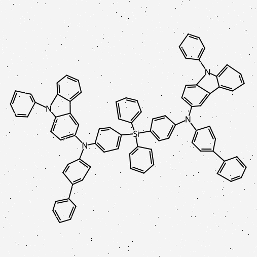 c1ccc(-c2ccc(N(c3ccc([Si](c4ccccc4)(c4ccccc4)c4ccc(N(c5ccc(-c6ccccc6)cc5)c5ccc6c(c5)c5ccccc5n6-c5ccccc5)cc4)cc3)c3ccc4c(c3)c3ccccc3n4-c3ccccc3)cc2)cc1